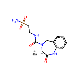 CC[C@H](C)[C@H]1C(=O)Nc2ccccc2CN1C(=O)NCCS(N)(=O)=O